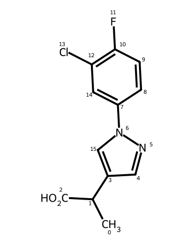 CC(C(=O)O)c1cnn(-c2ccc(F)c(Cl)c2)c1